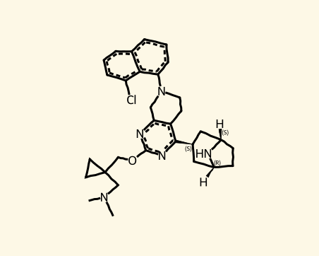 CN(C)CC1(COc2nc3c(c([C@@H]4C[C@H]5CC[C@@H](C4)N5)n2)CCN(c2cccc4cccc(Cl)c24)C3)CC1